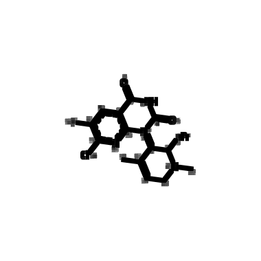 CCCC1/C(=[N+]2\C(=O)NC(=O)c3cc(F)c(Cl)nc32)C(C)=CCN1C